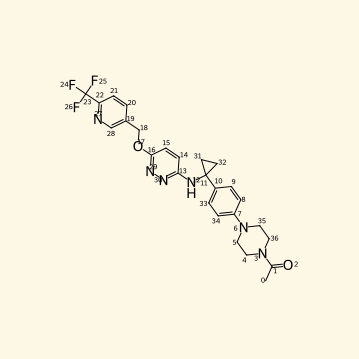 CC(=O)N1CCN(c2ccc(C3(Nc4ccc(OCc5ccc(C(F)(F)F)nc5)nn4)CC3)cc2)CC1